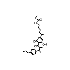 CCCc1ccc(C(C)C(C)C(=O)c2c(O)cc(C(C)CCCCNC(=O)OC)oc2=O)cc1